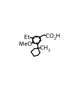 CCc1cc(CC(=O)O)cc(C2(C)CCCCC2)c1OC